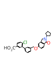 O=C(O)c1ccc(Cl)c(-c2cccc(COc3ccc4c(c3)CN(C3CCCC3)C4=O)c2)c1